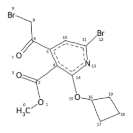 COC(=O)c1c(C(=O)CBr)cc(Br)nc1OC1CCC1